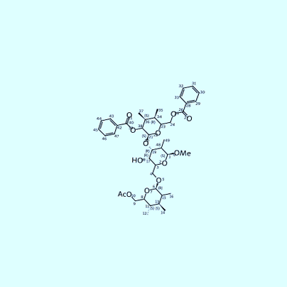 CO[C@H]1OC(CO[C@@H]2OC(COC(C)=O)[C@@H](C)[C@H](C)C2C)[C@H](O)[C@H](O[C@@H]2OC(COC(=O)c3ccccc3)[C@H](C)[C@H](C)C2OC(=O)c2ccccc2)C1C